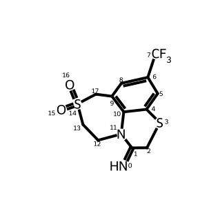 N=C1CSc2cc(C(F)(F)F)cc3c2N1CCS(=O)(=O)C3